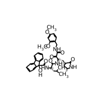 COc1ccc(CNC(=O)C(=O)[C@H](C[C@@H]2CCNC2=O)NC(=O)[C@H](CC(C)C)NC(=O)C2(O)c3ccccc3-c3ccccc32)c(OC)c1